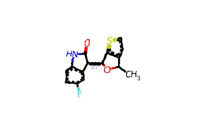 CC1O/C(=C2/C(=O)Nc3ccc(F)cc32)c2sccc21